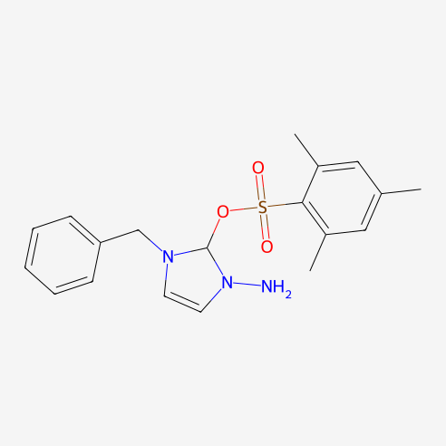 Cc1cc(C)c(S(=O)(=O)OC2N(N)C=CN2Cc2ccccc2)c(C)c1